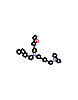 c1cc(-c2ccc3c(ccc4ccccc43)c2)cc(N(c2ccc(-c3ccc(-c4cccc(-n5c6ccccc6c6ccccc65)c4)cc3)cc2)c2ccc(-c3ccc4c(c3)oc3ccccc34)cc2)c1